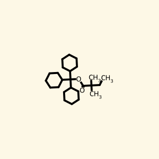 CCC(C)(C)C(=O)OC(C1CCCCC1)(C1CCCCC1)C1CCCCC1